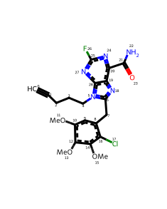 C#CCCCn1c(Cc2cc(OC)c(OC)c(OC)c2Cl)nc2c(C(N)=O)nc(F)nc21